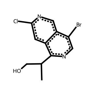 CC(CO)c1ncc(Br)c2cnc(Cl)cc12